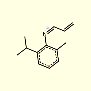 C=C/C=N\c1c(C)cccc1C(C)C